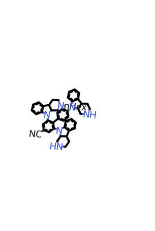 CCCCCCN1CCC2c3ccccc3N(c3cc(C#N)cc(N4c5ccccc5C5CCNCC54)c3-c3ccc(N4c5ccccc5C5CCNCC54)cc3)C2C1